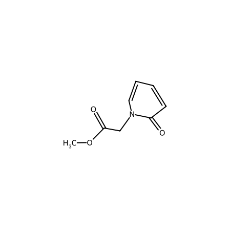 COC(=O)Cn1ccccc1=O